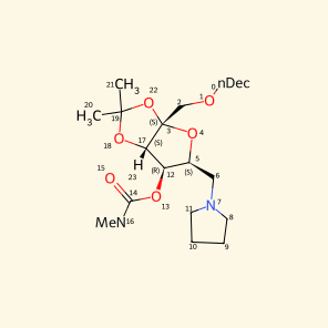 CCCCCCCCCCOC[C@@]12O[C@@H](CN3CCCC3)[C@@H](OC(=O)NC)[C@@H]1OC(C)(C)O2